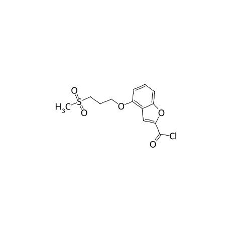 CS(=O)(=O)CCCOc1cccc2oc(C(=O)Cl)cc12